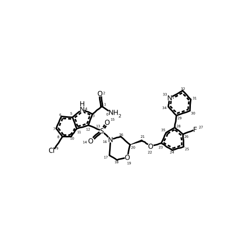 NC(=O)c1[nH]c2ccc(Cl)cc2c1S(=O)(=O)N1CCO[C@H](COc2ccc(F)c(-c3cccnc3)c2)C1